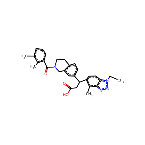 CCn1nnc2c(C)c(C(CC(=O)O)c3ccc4c(c3)CN(C(=O)c3cccc(C)c3C)CC4)ccc21